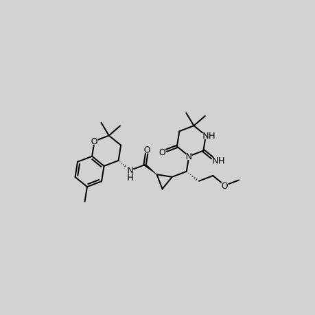 COCC[C@H](C1C[C@H]1C(=O)N[C@H]1CC(C)(C)Oc2ccc(C)cc21)N1C(=N)NC(C)(C)CC1=O